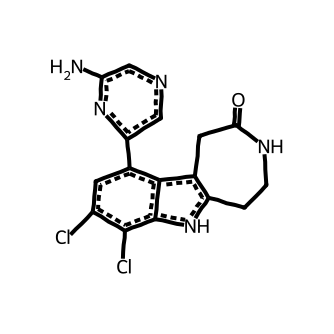 Nc1cncc(-c2cc(Cl)c(Cl)c3[nH]c4c(c23)CC(=O)NCC4)n1